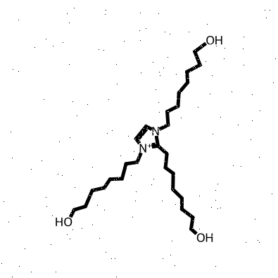 OCCCCCCCCc1n(CCCCCCCCO)cc[n+]1CCCCCCCCO